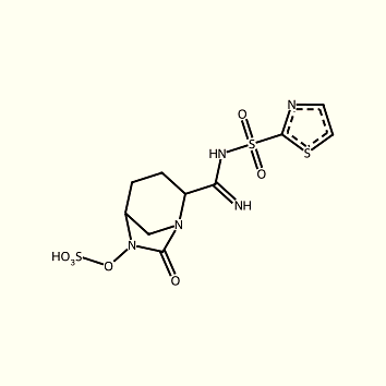 N=C(NS(=O)(=O)c1nccs1)C1CCC2CN1C(=O)N2OS(=O)(=O)O